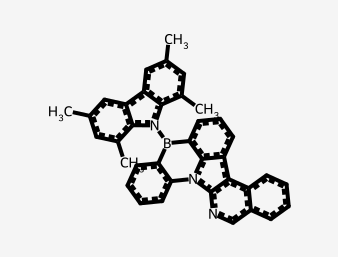 Cc1cc(C)c2c(c1)c1cc(C)cc(C)c1n2B1c2ccccc2-n2c3ncc4ccccc4c3c3cccc1c32